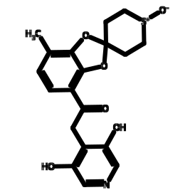 Cc1ccc(C(=O)Cc2c(O)cncc2O)c2c1OC1(CC[S+]([O-])CC1)O2